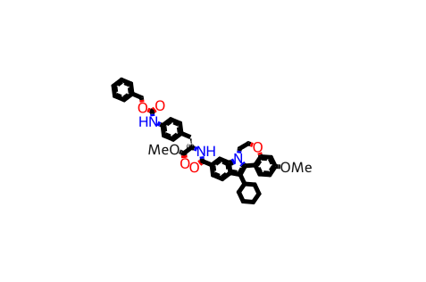 COC(=O)[C@H](Cc1ccc(NC(=O)OCc2ccccc2)cc1)NC(=O)c1ccc2c(C3CCCCC3)c3n(c2c1)CCOc1cc(OC)ccc1-3